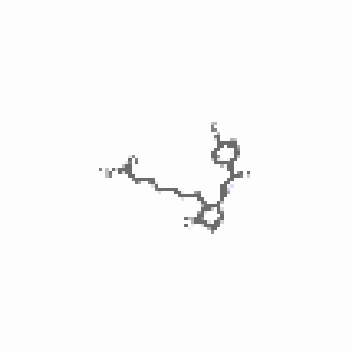 O=C(O)CCCCCCC1C(=O)CCC1/C=C/C(=O)c1ccc(F)cc1